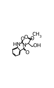 COC(=O)C(CO)n1c(=O)[nH]c2ccccc2c1=O